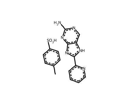 Cc1ccc(S(=O)(=O)O)cc1.Nc1ncc2[nH]c(-c3ccccn3)nc2n1